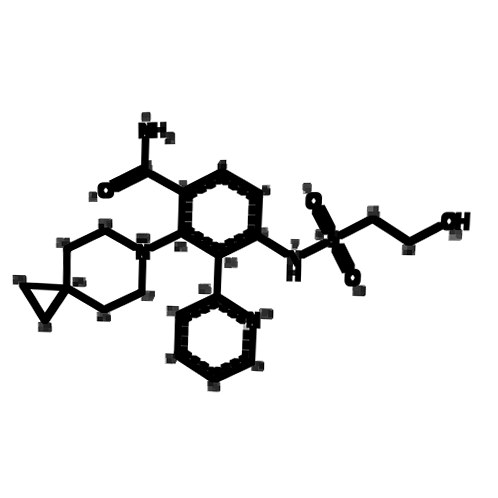 NC(=O)c1ccc(NS(=O)(=O)CCO)c(-c2ccccn2)c1N1CCC2(CC1)CC2